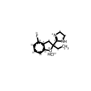 CCC1(C2=NCCN2)Cc2c(F)cccc2O1.Cl